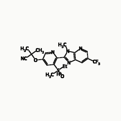 CC[SH](C)(=O)c1cc(OC(C)(C)C#N)cnc1-c1nc2cc(C(F)(F)F)cnc2n1C